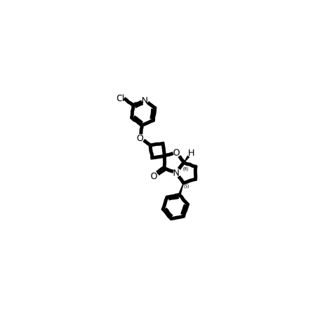 O=C1N2[C@@H](CC[C@H]2c2ccccc2)OC12CC(Oc1ccnc(Cl)c1)C2